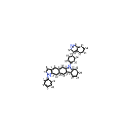 c1ccc(-n2ccc3cc4cc5c(cc4cc32)c2ccccc2n5-c2ccc(-c3cncc4ccccc34)cc2)cc1